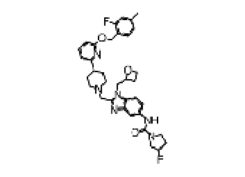 Cc1ccc(COc2cccc(C3CCN(Cc4nc5cc(NC(=O)N6CCC(F)C6)ccc5n4CC4CCO4)CC3)n2)c(F)c1